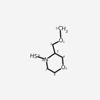 COCC1COCCN1S